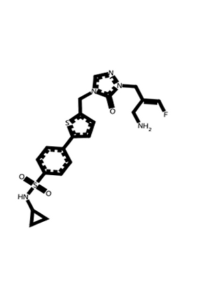 NC/C(=C\F)Cn1ncn(Cc2ccc(-c3ccc(S(=O)(=O)NC4CC4)cc3)s2)c1=O